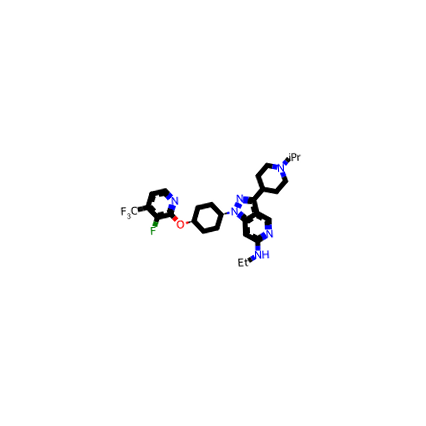 CCNc1cc2c(cn1)c(C1CCN(C(C)C)CC1)nn2[C@H]1CC[C@@H](Oc2nccc(C(F)(F)F)c2F)CC1